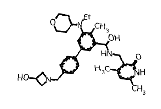 CCN(c1cc(-c2ccc(CN3CC(O)C3)cc2)cc(C(O)NCc2c(C)cc(C)[nH]c2=O)c1C)C1CCOCC1